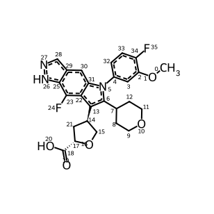 COc1cc(-n2c(C3CCOCC3)c([C@H]3CO[C@H](C(=O)O)C3)c3c(F)c4[nH]ncc4cc32)ccc1F